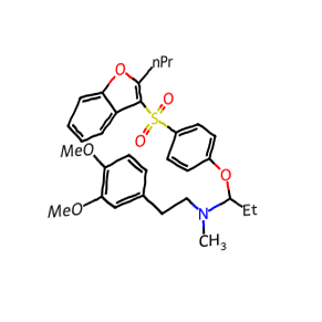 CCCc1oc2ccccc2c1S(=O)(=O)c1ccc(OC(CC)N(C)CCc2ccc(OC)c(OC)c2)cc1